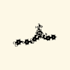 COC(=O)C(Cc1ccc(-c2ccccc2)cc1)NC(=O)C1Cc2cc3c(cc2CN1S(=O)(=O)c1sc(NC(C)=O)nc1C)OC(c1ccc(OCc2ccc(Cl)c(Cl)c2)cc1)CO3